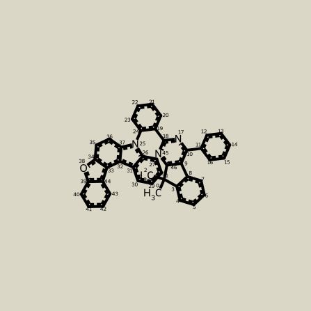 CC1(C)c2ccccc2-c2c(-c3ccccc3)nc(-c3ccccc3-n3c4ccccc4c4c5c(ccc43)oc3ccccc35)nc21